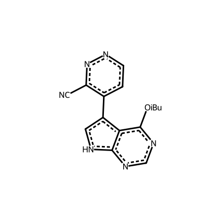 CC(C)COc1ncnc2[nH]cc(-c3ccnnc3C#N)c12